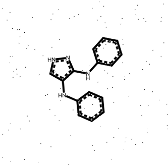 c1ccc(Nc2c[nH]nc2Nc2ccccc2)cc1